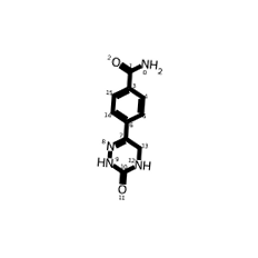 NC(=O)c1ccc(C2=NNC(=O)NC2)cc1